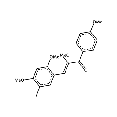 COC(=Cc1cc(C)c(OC)cc1OC)C(=O)c1ccc(OC)cc1